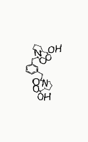 O=C(O)C1CCCN1C(=O)Cc1cccc(CC(=O)N2CCCC2C(=O)O)c1